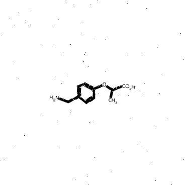 CC(Oc1ccc(CN)cc1)C(=O)O